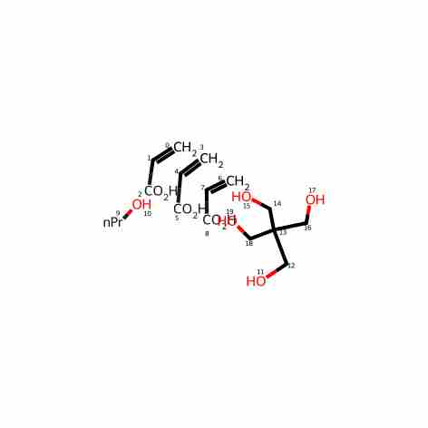 C=CC(=O)O.C=CC(=O)O.C=CC(=O)O.CCCO.OCC(CO)(CO)CO